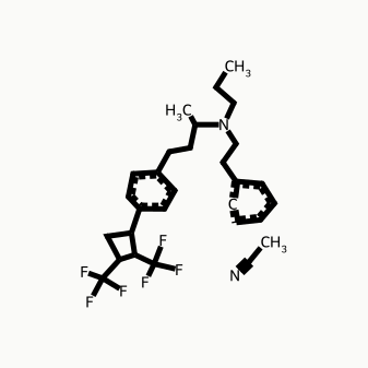 CC#N.CCCN(CCc1ccccc1)C(C)CCc1ccc(C2CC(C(F)(F)F)C2C(F)(F)F)cc1